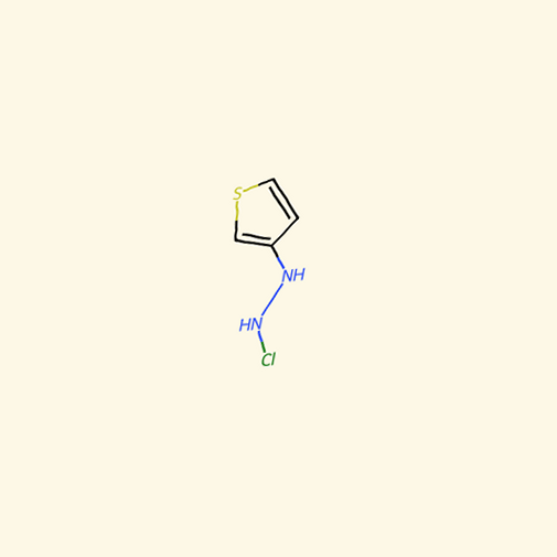 ClNNc1ccsc1